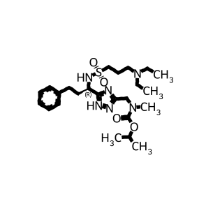 CCN(CC)CCCS(=O)(=O)N[C@H](CCc1ccccc1)c1nc(CN(C)C(=O)OC(C)C)n[nH]1